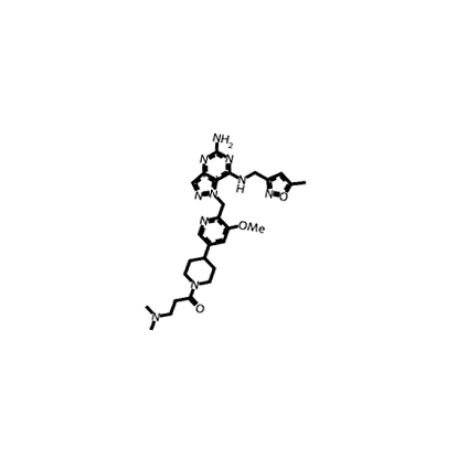 COc1cc(C2CCN(C(=O)CCN(C)C)CC2)cnc1Cn1ncc2nc(N)nc(NCc3cc(C)on3)c21